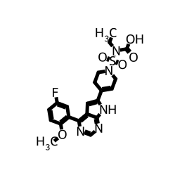 CCN(C(=O)O)S(=O)(=O)N1CC=C(c2cc3c(-c4cc(F)ccc4OC)ncnc3[nH]2)CC1